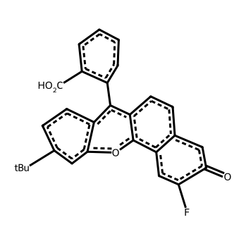 CC(C)(C)c1ccc2c(-c3ccccc3C(=O)O)c3ccc4cc(=O)c(F)cc4c3oc2c1